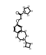 O=C(COc1ccc2c(c1)CCN(C1CCC1)CC2)N1CCCC1